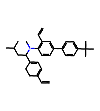 C=CC1=CC=C(C(CC(C)C)N(C)c2ccc(-c3ccc(C(C)(C)C)cc3)cc2C=C)CC1